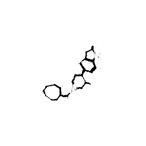 CC1CN(CC2CCCCCCC2)CCC1c1ccc2c(c1)CC(=O)N2